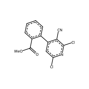 COC(=O)c1ccccc1-c1cc(Cl)nc(Cl)c1C#N